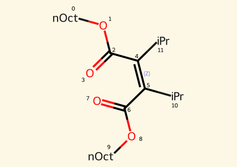 CCCCCCCCOC(=O)/C(=C(\C(=O)OCCCCCCCC)C(C)C)C(C)C